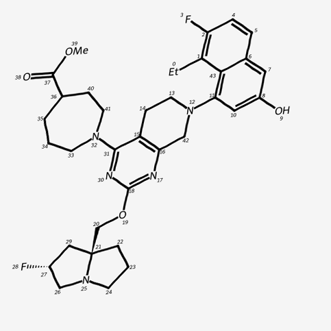 CCc1c(F)ccc2cc(O)cc(N3CCc4c(nc(OC[C@@]56CCCN5C[C@H](F)C6)nc4N4CCCC(C(=O)OC)CC4)C3)c12